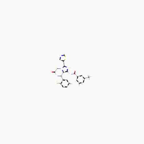 O=C1Cn2c(-c3cncs3)nc(NC(=O)c3cc(F)cc(C(F)(F)F)c3)c2C(c2cc(F)ccc2Cl)N1